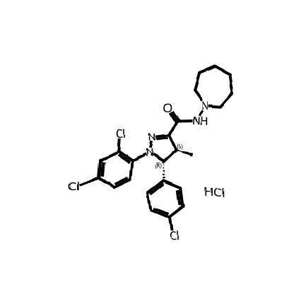 C[C@@H]1C(C(=O)NN2CCCCCC2)=NN(c2ccc(Cl)cc2Cl)[C@H]1c1ccc(Cl)cc1.Cl